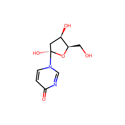 O=c1ccn([C@@]2(O)C[C@@H](O)[C@@H](CO)O2)cn1